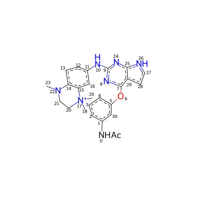 CC(=O)Nc1cccc(Oc2nc(Nc3ccc4c(c3)[N+](C)(C)CCN4C)nc3[nH]ccc23)c1